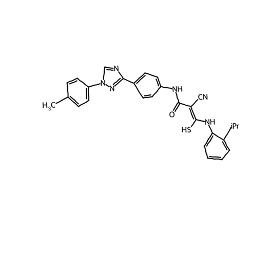 Cc1ccc(-n2cnc(-c3ccc(NC(=O)/C(C#N)=C(\S)Nc4ccccc4C(C)C)cc3)n2)cc1